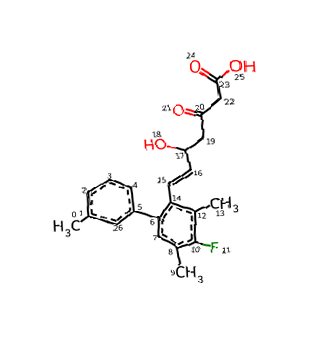 Cc1cccc(-c2cc(C)c(F)c(C)c2/C=C/C(O)CC(=O)CC(=O)O)c1